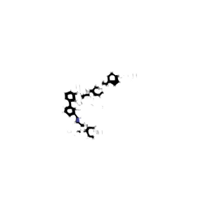 Cn1c(C(=O)Nc2cccc(-c3cccc(/C=C(\F)c4nc5c(n4C)CCNC5)c3Cl)c2Cl)nc2c1CCN(CCC13CCC(C(=O)O)(CC1)C3)C2